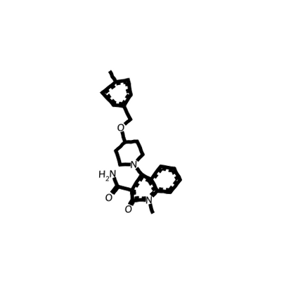 Cc1ccc(COC2CCN(c3c(C(N)=O)c(=O)n(C)c4ccccc34)CC2)cc1